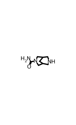 NC(=O)N1CC2CNCC(C2)C1